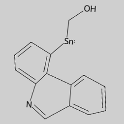 O[CH2][Sn][c]1cccc2ncc3ccccc3c12